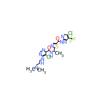 CC(NC(=O)c1ncnc(NCCCN(C)C)c1Cl)c1ncc(C(=O)Nc2cc(C(F)(F)F)c(Cl)cn2)s1